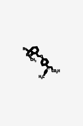 CC#C[C@@H](CC(=O)O)c1ccc(OCc2cccc3c(Br)nn(C)c23)cc1